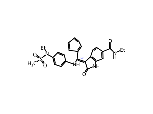 [CH2]CN(c1ccc(N/C(=C2\C(=O)Nc3cc(C(=O)NCC)ccc32)c2ccccc2)cc1)S(C)(=O)=O